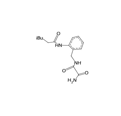 CCC(C)CC(=O)Nc1ccccc1CNC(=O)C(N)=O